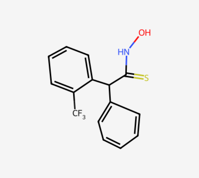 ONC(=S)C(c1ccccc1)c1ccccc1C(F)(F)F